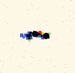 Nc1nc(F)nc2c1ncn2C1CCC(C(=O)Nc2nc3ccc(F)cc3s2)CC1